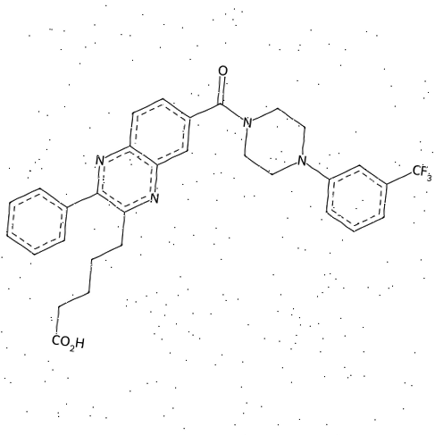 O=C(O)CCCCc1nc2cc(C(=O)N3CCN(c4cccc(C(F)(F)F)c4)CC3)ccc2nc1-c1ccccc1